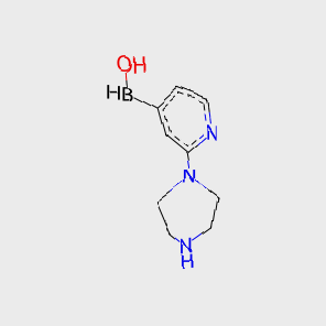 OBc1ccnc(N2CCNCC2)c1